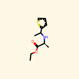 CCOC(=O)[C@H](C)NC(C)c1cccs1